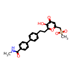 CNC(=O)c1ccc(-c2ccc(CCc3oc(CS(C)(=O)=O)cc(=O)c3O)cc2)cc1